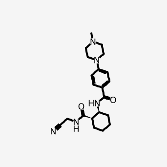 CN1CCN(c2ccc(C(=O)N[C@H]3CCCC[C@H]3C(=O)NCC#N)cc2)CC1